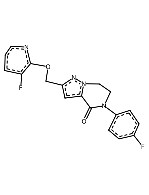 O=C1c2cc(COc3ncccc3F)nn2CCN1c1ccc(F)cc1